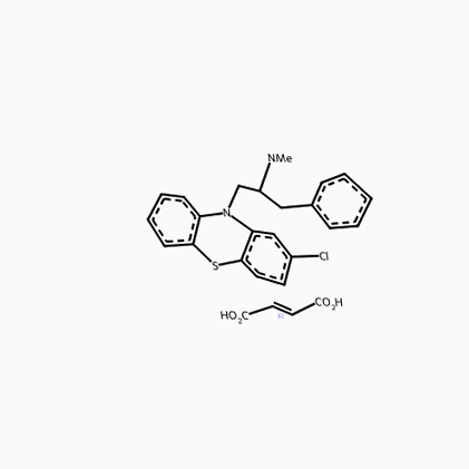 CNC(Cc1ccccc1)CN1c2ccccc2Sc2ccc(Cl)cc21.O=C(O)/C=C/C(=O)O